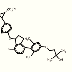 CCOC(=O)[C@H]1CC1c1ccc(OC2CCc3c(-c4c(C)cc(OCCC(C)(C)O)cc4C)ccc(F)c32)cc1